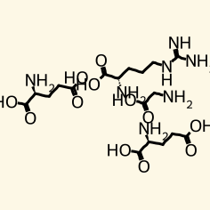 N=C(N)NCCC[C@H](N)C(=O)O.NCC(=O)O.N[C@@H](CCC(=O)O)C(=O)O.N[C@@H](CCC(=O)O)C(=O)O